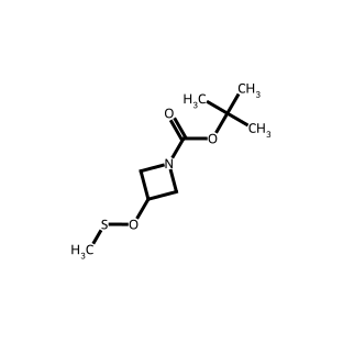 CSOC1CN(C(=O)OC(C)(C)C)C1